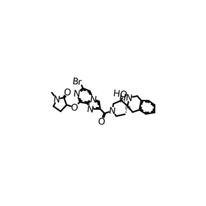 CN1CCC(Oc2nc(Br)cn3cc(C(=O)N4CC[C@]5(Cc6ccccc6CN5)[C@H](O)C4)nc23)C1=O